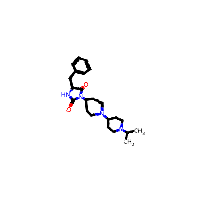 CC(C)N1CCC(N2CCC(N3C(=O)NC(Cc4ccccc4)C3=O)CC2)CC1